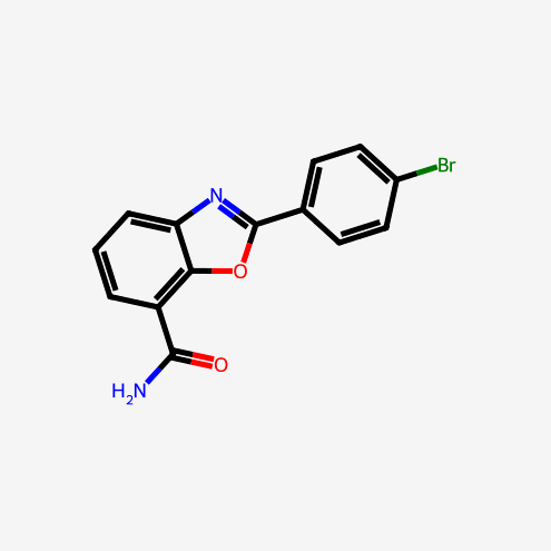 NC(=O)c1cccc2nc(-c3ccc(Br)cc3)oc12